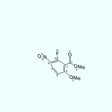 COC(=O)c1c(OC)ccc([N+](=O)[O-])c1F